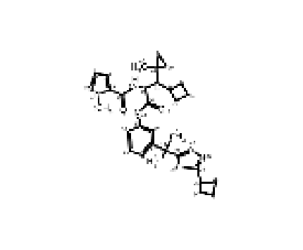 Cn1nccc1C(=O)N[C@H](C(=O)Nc1cccc(C(C)(C)c2nnc(C3CCC3)o2)c1)C(C1CCC1)C1(C)CC1